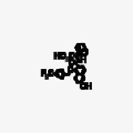 O=C(NC(C(=O)O)C12CC3CC(CC(C3)C1)C2)c1ccc2cc(O)ccc2c1OCc1ccc(C(F)(F)F)cc1